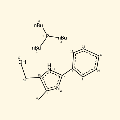 CCCCP(CCCC)CCCC.Cc1nc(-c2ccccc2)[nH]c1CO